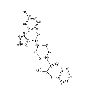 CC(C)(C)C(Cc1ccccc1)C(=O)N1CCN(C(Cc2ccc(C#N)cc2)c2cnc[nH]2)CC1